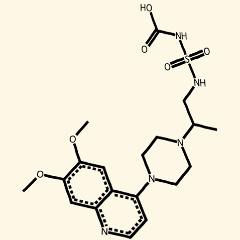 COc1cc2nccc(N3CCN(C(C)CNS(=O)(=O)NC(=O)O)CC3)c2cc1OC